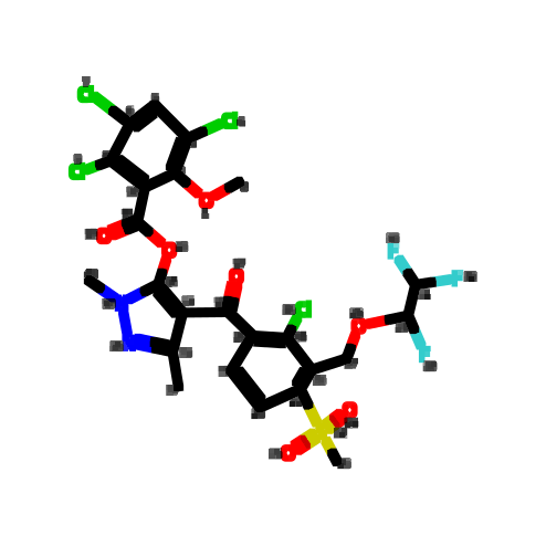 COc1c(Cl)cc(Cl)c(Cl)c1C(=O)Oc1c(C(=O)c2ccc(S(C)(=O)=O)c(COC(F)C(F)F)c2Cl)c(C)nn1C